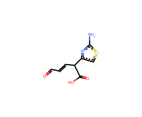 Nc1nc(C(C=CC=O)C(=O)O)cs1